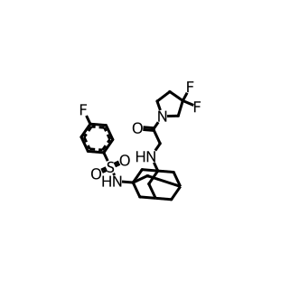 O=C(CNC12CC3CC(C1)CC(NS(=O)(=O)c1ccc(F)cc1)(C3)C2)N1CCC(F)(F)C1